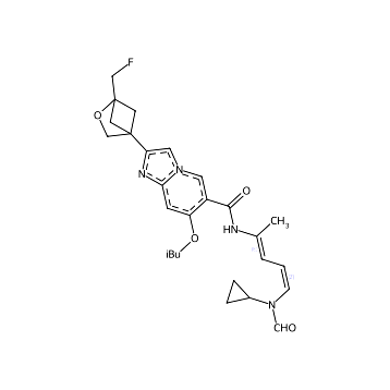 CCC(C)Oc1cc2nc(C34COC(CF)(C3)C4)cn2cc1C(=O)N/C(C)=C/C=C\N(C=O)C1CC1